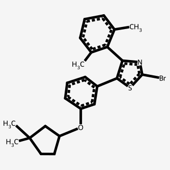 Cc1cccc(C)c1-c1nc(Br)sc1-c1cccc(OC2CCC(C)(C)C2)c1